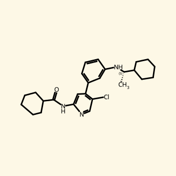 C[C@H](Nc1cccc(-c2cc(NC(=O)C3CCCCC3)ncc2Cl)c1)C1CCCCC1